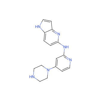 c1cc(N2CCNCC2)cc(Nc2ccc3[nH]ccc3n2)n1